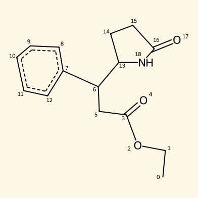 CCOC(=O)CC(c1ccccc1)C1CCC(=O)N1